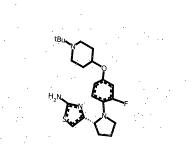 CC(C)(C)N1CCC(Oc2ccc(N3CCC[C@@H]3c3csc(N)n3)c(F)c2)CC1